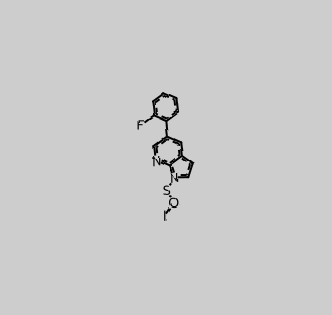 Fc1ccccc1-c1cnc2c(ccn2SOI)c1